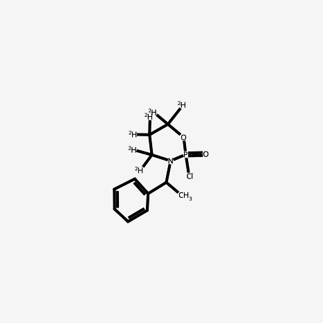 [2H]C1([2H])OP(=O)(Cl)N(C(C)c2ccccc2)C([2H])([2H])C1([2H])[2H]